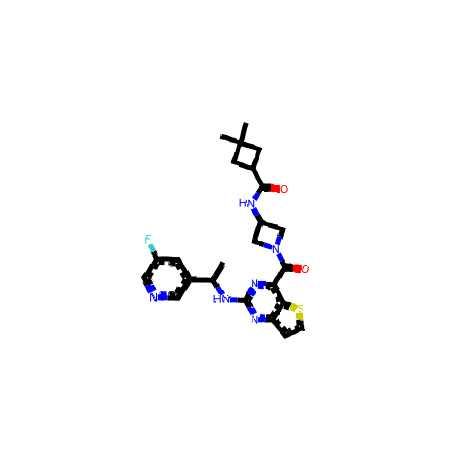 CC(Nc1nc(C(=O)N2CC(NC(=O)C3CC(C)(C)C3)C2)c2sccc2n1)c1cncc(F)c1